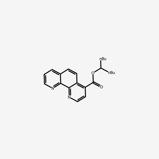 CCCCC(CCCC)OC(=O)c1ccnc2c1ccc1cccnc12